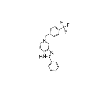 FC(F)(F)c1ccc(CN2C=Cc3[nH]c(-c4ccccc4)nc3C2)cc1